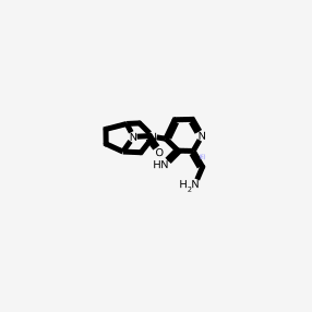 N=C1C(N2CC3CCC(C2)N3C=O)=CC=N/C1=C/N